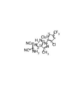 Cc1nn(-c2c(Cl)cc(C(F)(F)F)cc2Cl)c(N)c1C=NC(C#N)=C(N)C#N